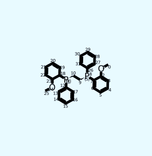 COc1ccccc1[P@](CC[P@](c1ccccc1)C1C=CC=CC1OC)c1ccccc1